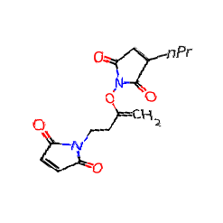 C=C(CCN1C(=O)C=CC1=O)ON1C(=O)CC(CCC)C1=O